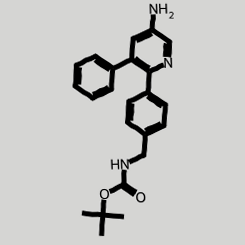 CC(C)(C)OC(=O)NCc1ccc(-c2ncc(N)cc2-c2ccccc2)cc1